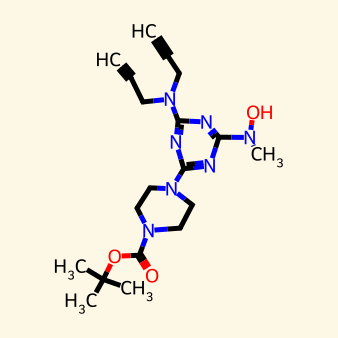 C#CCN(CC#C)c1nc(N(C)O)nc(N2CCN(C(=O)OC(C)(C)C)CC2)n1